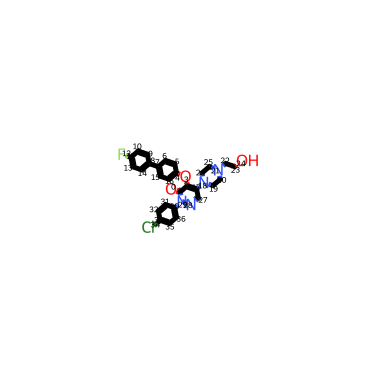 O=c1c(Oc2ccc(-c3ccc(F)cc3)cc2)c(N2CCN(CCO)CC2)cnn1-c1ccc(Cl)cc1